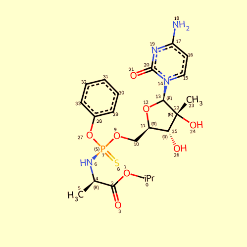 CC(C)OC(=O)[C@@H](C)N[P@](=S)(OC[C@H]1O[C@@H](n2ccc(N)nc2=O)[C@](C)(O)[C@@H]1O)Oc1ccccc1